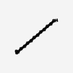 C=C(C)C(=O)OCCCCOCCCCOCCCCOCCCCOCCCCOCCCCOCCCCOCCCCOCCCCOCCCCOCCCCO